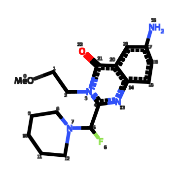 COCCn1c(C(F)N2CCCCC2)nc2ccc(N)cc2c1=O